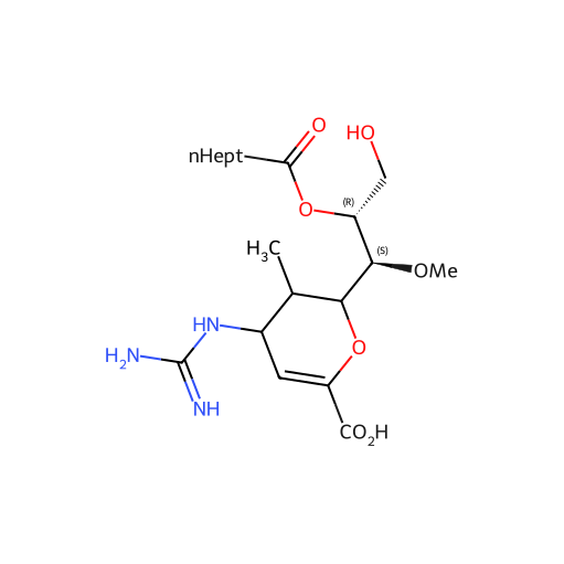 CCCCCCCC(=O)O[C@H](CO)[C@@H](OC)C1OC(C(=O)O)=CC(NC(=N)N)C1C